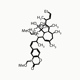 CC/C=C\C(C)[C@H](O)[C@@H](C)[C@@H]1C(C(C)(C)[Si](C)(C)O)[C@H]([C@@H](OCOC)C(C)/C=C\c2ccc3c(c2)N(COC)C(=O)CO3)C=C(C)C[C@@H]1C